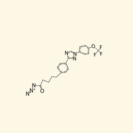 [N-]=[N+]=NC(=O)CCCCc1ccc(-c2ncn(-c3ccc(OC(F)(F)F)cc3)n2)cc1